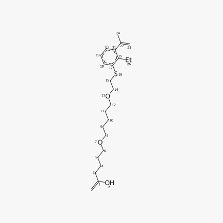 C=C(O)CCCCOCCCCCOCCSc1cccc(C(=C)C)c1CC